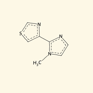 Cn1ccnc1-c1cscn1